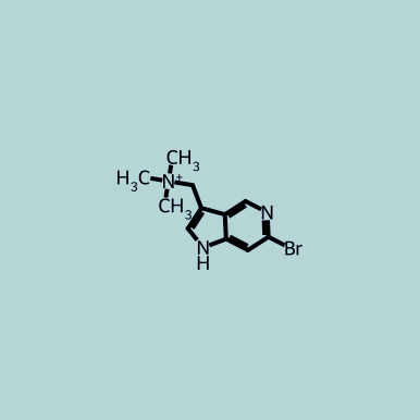 C[N+](C)(C)Cc1c[nH]c2cc(Br)ncc12